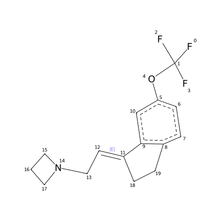 FC(F)(F)Oc1ccc2c(c1)/C(=C/CN1CCC1)CC2